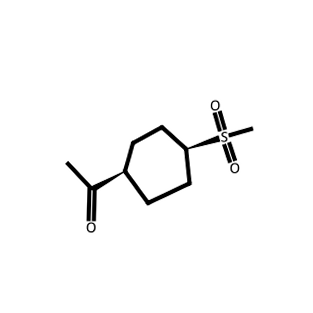 CC(=O)[C@H]1CC[C@@H](S(C)(=O)=O)CC1